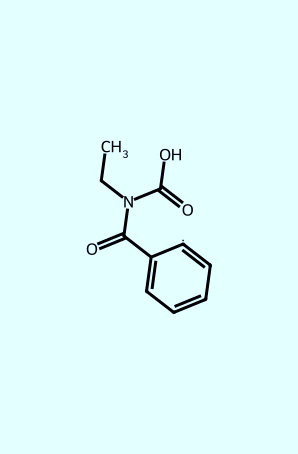 CCN(C(=O)O)C(=O)c1[c]cccc1